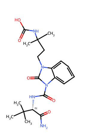 CC(C)(CCn1c(=O)n(C(=O)N[C@H](C(N)=O)C(C)(C)C)c2ccccc21)NC(=O)O